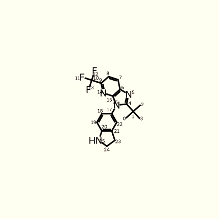 CC(C)(C)c1nc2ccc(C(F)(F)F)nc2n1-c1ccc2c(c1)CCN2